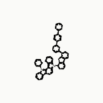 c1ccc(-c2ccc(-c3cccc(-c4cccc5c4Cc4c-5cccc4-n4c5ccccc5c5c4ccc4c6ccccc6n(-c6ccccc6)c45)c3)cc2)cc1